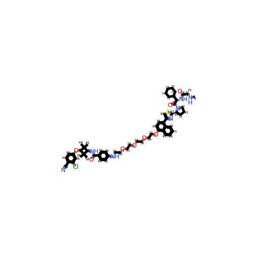 CN[C@@H](C)C(=O)N[C@H](C(=O)N1CCC[C@H]1c1nc(-c2ccc(OCCOCCOCCOCCNc3ccc(C(=O)NC4C(C)(C)C(Oc5ccc(C#N)c(Cl)c5)C4(C)C)cc3)c3ccccc23)cs1)C1CCCCC1